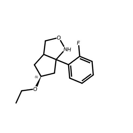 CCO[C@H]1CC2CONC2(c2ccccc2F)C1